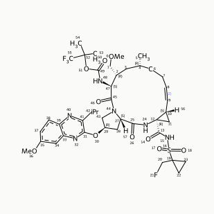 COC[C@@H]1C[C@H](C)CC/C=C\[C@@H]2C[C@@]2(C(=O)NS(=O)(=O)C2(CF)CC2)NC(=O)[C@@H]2C[C@@H](Oc3nc4cc(OC)ccc4nc3C(C)C)CN2C(=O)[C@H]1NC(=O)OC(C)(C)C(F)(F)F